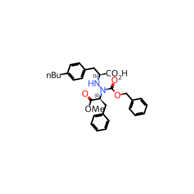 CCCCc1ccc(C[C@H](NN(C(=O)OCc2ccccc2)[C@@H](Cc2ccccc2)C(=O)OC)C(=O)O)cc1